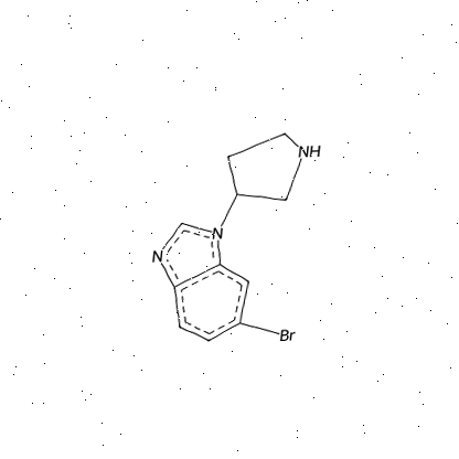 Brc1ccc2ncn(C3CCNC3)c2c1